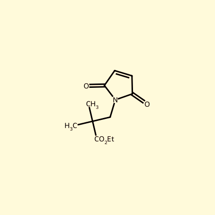 CCOC(=O)C(C)(C)CN1C(=O)C=CC1=O